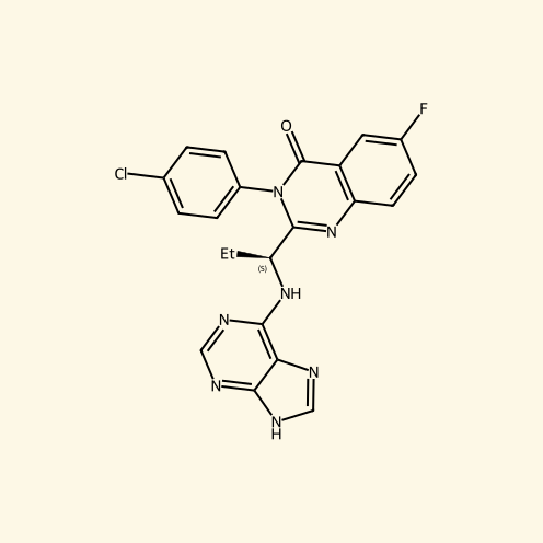 CC[C@H](Nc1ncnc2[nH]cnc12)c1nc2ccc(F)cc2c(=O)n1-c1ccc(Cl)cc1